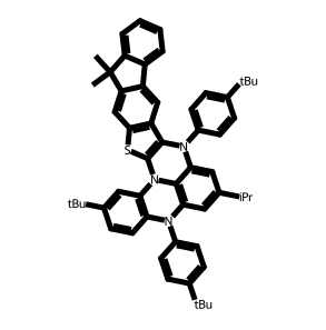 CC(C)c1cc2c3c(c1)N(c1ccc(C(C)(C)C)cc1)c1c(sc4cc5c(cc14)-c1ccccc1C5(C)C)N3c1cc(C(C)(C)C)ccc1N2c1ccc(C(C)(C)C)cc1